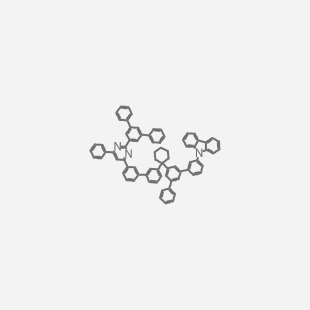 c1ccc(-c2cc(-c3ccccc3)cc(-c3nc(-c4ccccc4)cc(-c4cccc(-c5cccc(C6(c7cc(-c8ccccc8)cc(-c8cccc(-n9c%10ccccc%10c%10ccccc%109)c8)c7)CCCCC6)c5)c4)n3)c2)cc1